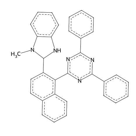 CN1c2ccccc2NC1c1ccc2ccccc2c1-c1nc(-c2ccccc2)nc(-c2ccccc2)n1